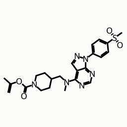 C=C(C)OC(=O)N1CCC(CN(C)c2ncnc3c2cnn3-c2ccc(S(C)(=O)=O)cc2)CC1